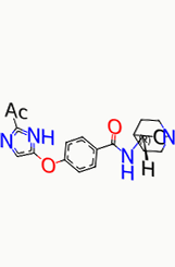 CC(=O)c1ncc(Oc2ccc(C(=O)N[C@H]3CN4CCC3CC4)cc2)[nH]1